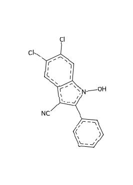 N#Cc1c(-c2ccccc2)n(O)c2cc(Cl)c(Cl)cc12